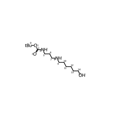 CC(C)(C)OC(=O)NCCCNCCCCCCO